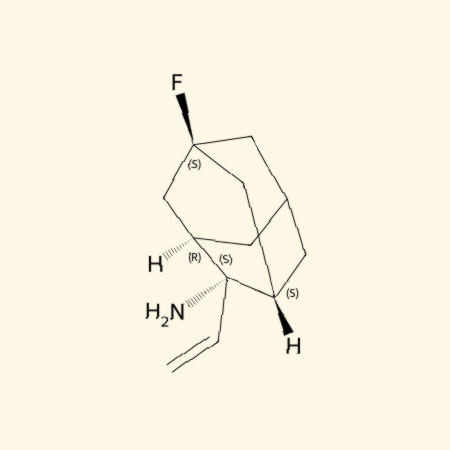 C=C[C@@]1(N)[C@@H]2CC3C[C@H]1C[C@@](F)(C3)C2